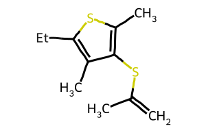 C=C(C)Sc1c(C)sc(CC)c1C